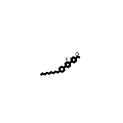 CCCCCCCCCC1CCC(c2ccc(-c3ccc(C(C)=O)cc3)c(F)c2)CC1